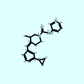 CC1CN(C(=O)Nc2cccnc2)CCC1=Cc1cccc(C2CC2)c1